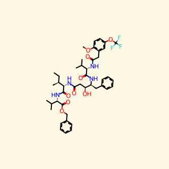 CC[C@H](C)[C@H](NC(=O)C[C@H](O)[C@H](Cc1ccccc1)NC(=O)[C@@H](NC(=O)Cc1cc(OC(F)(F)F)ccc1OC)C(C)C)C(=O)N[C@H](C(=O)OCc1ccccc1)C(C)C